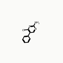 Nc1ncc(-c2ccccc2)c(Cl)n1